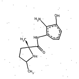 CC1CC[C@](C)(C(=O)Nc2cccc(O)c2N)N1